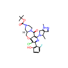 CC1c2cnn(C)c2CN1c1nc(-c2c(O)cccc2F)c(Cl)c2c1C(=O)N1CCN(C(=O)OC(C)(C)C)C[C@@H]1CO2